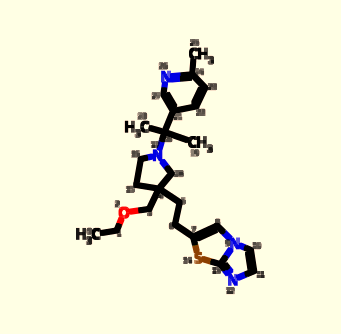 CCOCC1(CCc2cn3ccnc3s2)CCN(C(C)(C)c2ccc(C)nc2)C1